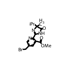 COC(=O)c1cc(CBr)cnc1C1=NC(C)(C(C)C)C(=O)N1